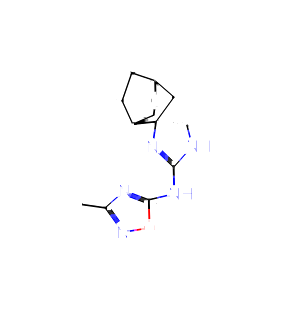 Cc1noc(NC2=N[C@]3(CN2)CC2CCC3CC2)n1